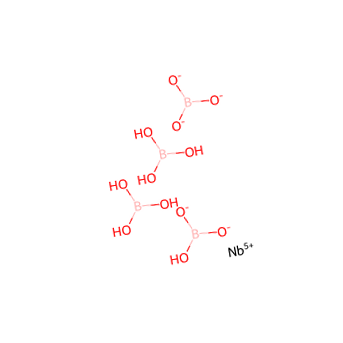 OB(O)O.OB(O)O.[Nb+5].[O-]B([O-])O.[O-]B([O-])[O-]